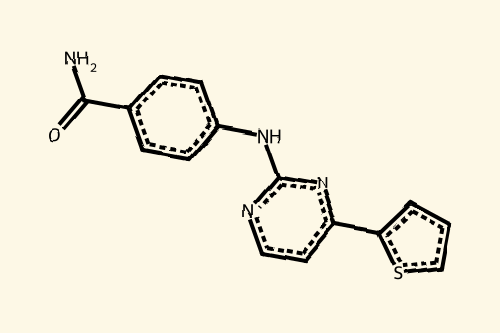 NC(=O)c1ccc(Nc2nccc(-c3cccs3)n2)cc1